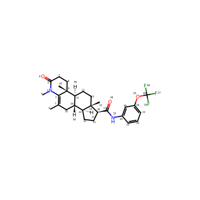 CC1=C2N(C)C(=O)CC[C@]2(C)[C@H]2CC[C@]3(C)[C@@H](C(=O)Nc4cccc(OC(F)(F)F)c4)CC[C@H]3[C@@H]2C1